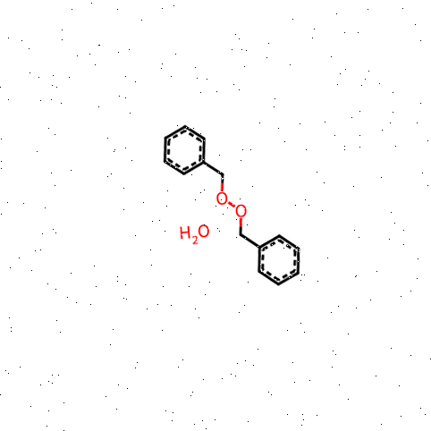 O.c1ccc(COOCc2ccccc2)cc1